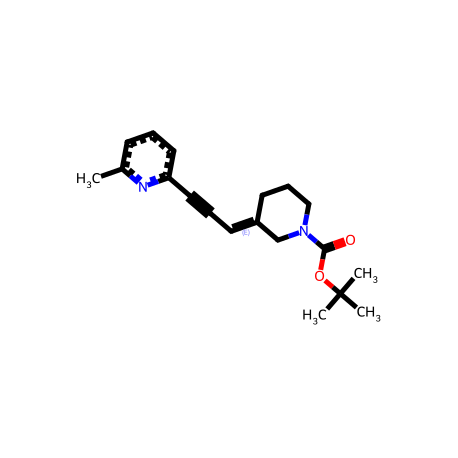 Cc1cccc(C#C/C=C2\CCCN(C(=O)OC(C)(C)C)C2)n1